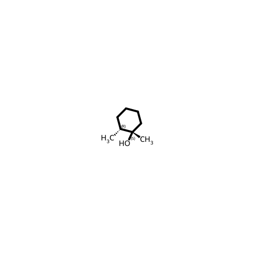 C[C@@H]1CCCC[C@]1(C)O